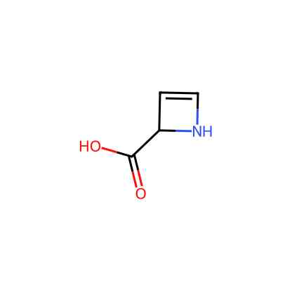 O=C(O)C1C=CN1